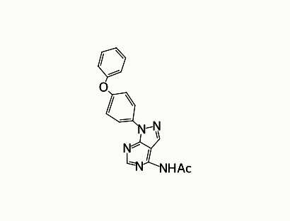 CC(=O)Nc1ncnc2c1cnn2-c1ccc(Oc2ccccc2)cc1